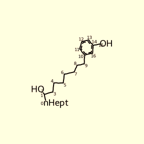 CCCCCCCC(O)CCCCCCCc1cccc(O)c1